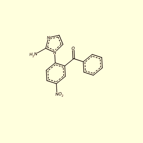 Nc1nccn1-c1ccc([N+](=O)[O-])cc1C(=O)c1ccccc1